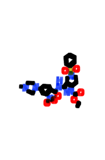 CCOC(=O)n1nc(NC(=O)c2ccc(N3CCN(C)CC3)cc2[N+](=O)[O-])c2c1CCN(S(=O)(=O)c1ccccc1)C2